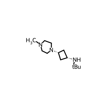 CN1CCN([C@H]2C[C@@H](NC(C)(C)C)C2)CC1